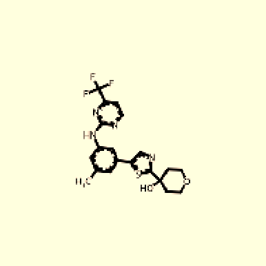 Cc1cc(Nc2nccc(C(F)(F)F)n2)cc(-c2cnc(C3(O)CCOCC3)s2)c1